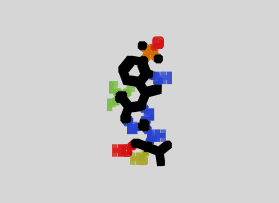 CC(C)[C@](S)(CO)Nc1ncc(C(F)(F)F)c(-c2c[nH]c3c(P(C)(C)=O)cccc23)n1